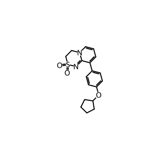 O=S1(=O)CCN2C=CC=C(c3ccc(OC4CCCC4)cc3)C2=N1